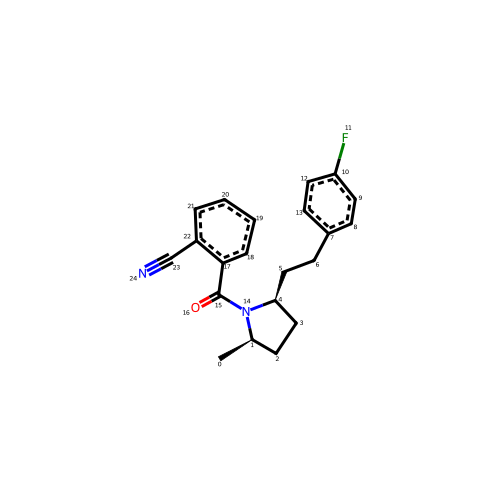 C[C@@H]1CC[C@H](CCc2ccc(F)cc2)N1C(=O)c1ccccc1C#N